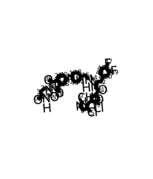 Cn1ncc(Cl)c1-c1cc(C(=O)N[C@H](CNCC2CCN(c3ccc4c(c3)C(=O)N(N3CCC(=O)NC3=O)C4=O)CC2)Cc2ccc(F)c(F)c2)oc1Cl